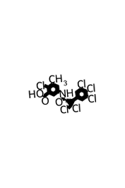 Cc1cc(NC(=O)[C@H]2C(c3cc(Cl)c(Cl)c(Cl)c3)C2(Cl)Cl)cc(C(=O)O)c1Cl